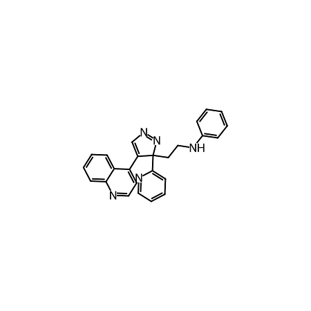 C1=C(c2ccnc3ccccc23)C(CCNc2ccccc2)(c2ccccn2)N=N1